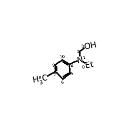 CCN(CO)c1ccc(C)cc1